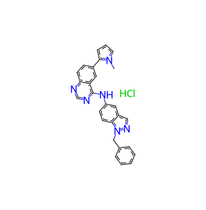 Cl.Cn1cccc1-c1ccc2ncnc(Nc3ccc4c(cnn4Cc4ccccc4)c3)c2c1